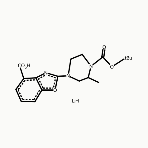 CC1CN(c2nc3c(C(=O)O)cccc3o2)CCN1C(=O)OC(C)(C)C.[LiH]